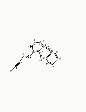 CC#CCOc1ncnc(Oc2ccccc2)c1F